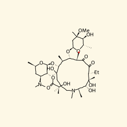 CC[C@H]1C(=O)C(=O)[C@H](C)[C@@H](O[C@H]2C[C@@](C)(OC)[C@@H](O)[C@H](C)O2)[C@H](C)[C@@H](O[C@@H]2O[C@H](C)C[C@H](N(C)C)[C@H]2OC(=O)[C@H](C)O)[C@](C)(O)C[C@@H](C)CN(C)[C@H](C)[C@@H](O)[C@@]1(C)O